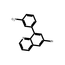 CC(C)c1cc(-c2cccc([N+](=O)[O-])c2)c2ncccc2c1